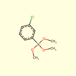 CO[Si](OC)(OC)c1cccc(Cl)c1